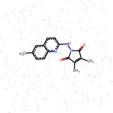 CC1=C(C)C(=O)N(Nc2ccc3cc(C)ccc3n2)C1=O